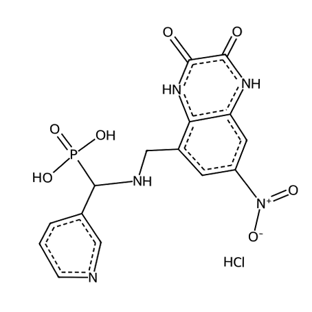 Cl.O=c1[nH]c2cc([N+](=O)[O-])cc(CNC(c3cccnc3)P(=O)(O)O)c2[nH]c1=O